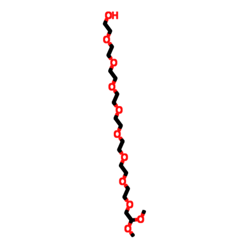 COC(COCCOCCOCCOCCOCCOCCOCCOCCO)OC